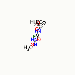 CCc1cnc(CCNC(=O)c2ccc(-c3noc(C4=CC=C(c5ccccc5C)C(COC)C4)n3)cc2F)o1